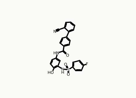 N#Cc1ccccc1-c1ccc(C(=O)Nc2ccc(O)c(NS(=O)(=O)c3ccc(F)cc3)c2)cc1